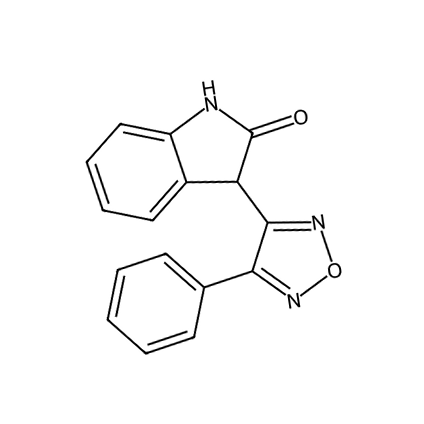 O=C1Nc2ccccc2C1c1nonc1-c1ccccc1